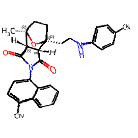 C[C@]12CC[C@](CCNc3ccc(C#N)cc3)(O1)[C@@H]1C(=O)N(c3ccc(C#N)c4ccccc34)C(=O)[C@@H]12